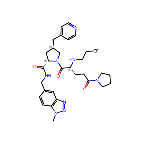 Cn1nnc2cc(CNC(=O)[C@@H]3C[C@@H](Cc4ccncc4)CN3C(=O)[C@@H](CCC(=O)N3CCCC3)NCCC(F)(F)F)ccc21